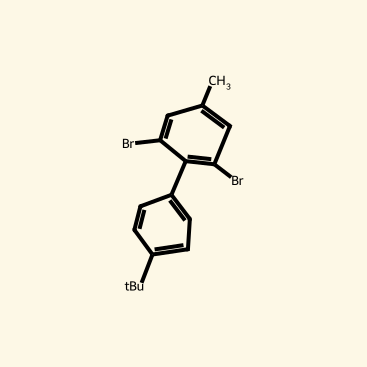 Cc1cc(Br)c(-c2ccc(C(C)(C)C)cc2)c(Br)c1